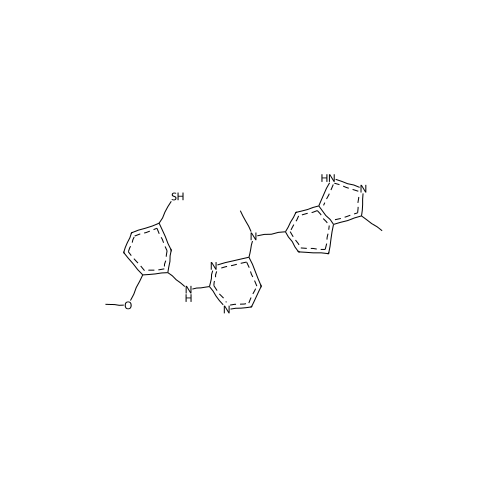 COc1ccc(S)cc1Nc1nccc(N(C)c2ccc3c(C)n[nH]c3c2)n1